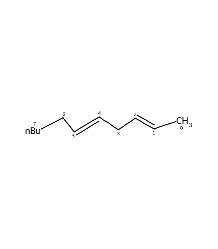 C/C=C/CC=CCCCCC